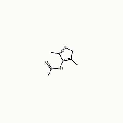 CC(=O)NC1=C(C)CN=C1C